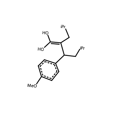 COc1ccc(C(CC(C)C)C(CC(C)C)=C(O)O)cc1